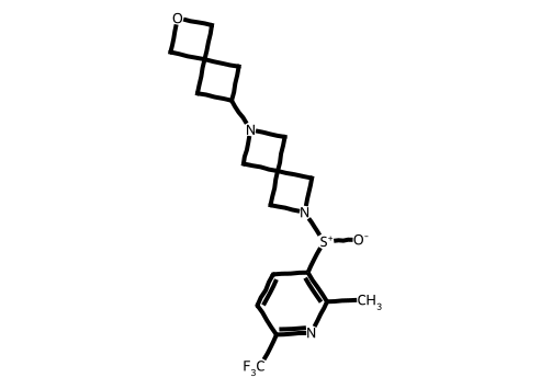 Cc1nc(C(F)(F)F)ccc1[S+]([O-])N1CC2(CN(C3CC4(COC4)C3)C2)C1